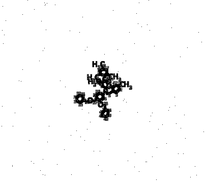 Cc1ccc(CN(C(=O)CN(C)[S+]([O-])c2c(C)cc(C)cc2C)c2ccc(COCc3ccccc3)c(OCc3ccccc3)c2)cc1